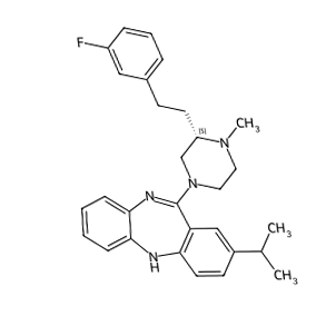 CC(C)c1ccc2c(c1)C(N1CCN(C)[C@@H](CCc3cccc(F)c3)C1)=Nc1ccccc1N2